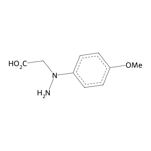 COc1ccc(N(N)CC(=O)O)cc1